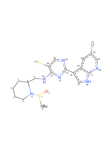 CCCC[S+]([O-])N1CCCCC1CNc1nc(-c2c[nH]c3ncc(Cl)cc23)ncc1F